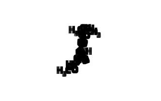 COC(=O)NCC(=O)N1CC=C[C@H]1c1ncc(-c2ccc(B3OC(C)(C)C(C)(C)O3)cc2)[nH]1